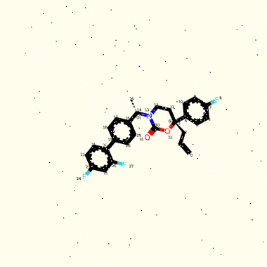 C=CC[C@]1(c2ccc(F)cc2)CCN([C@@H](C)c2ccc(-c3ccc(F)cc3F)cc2)C(=O)O1